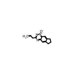 C=CCc1nc2cc3c(cc2[n+]([O-])n1)CCC3